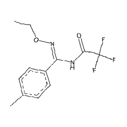 CCO/N=C(/NC(=O)C(F)(F)F)c1ccc(C)cc1